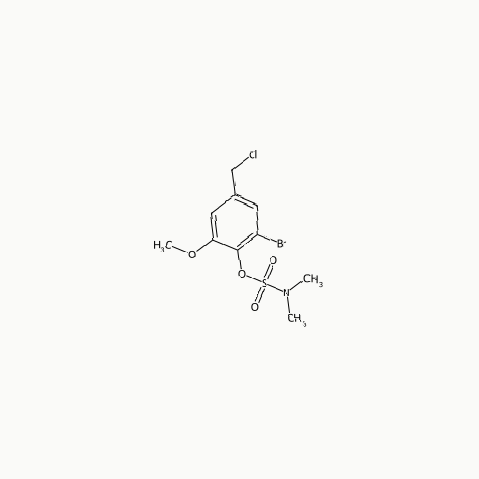 COc1cc(CCl)cc(Br)c1OS(=O)(=O)N(C)C